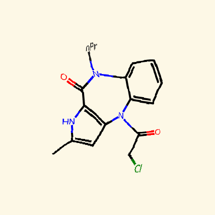 CCCN1C(=O)c2[nH]c(C)cc2N(C(=O)CCl)c2ccccc21